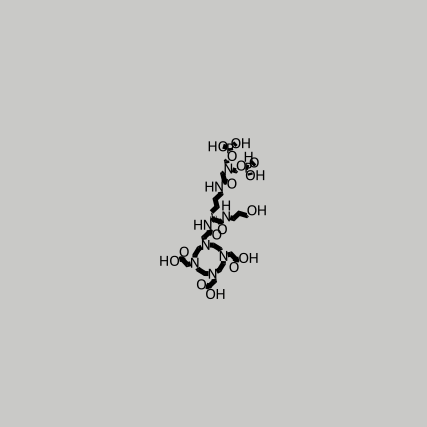 O=C(O)CN1CCN(CC(=O)O)CCN(CC(=O)N[C@H](CCCCNC(=O)CN(COP(O)O)CO[PH](=O)O)C(=O)NCCCO)CCN(CC(=O)O)CC1